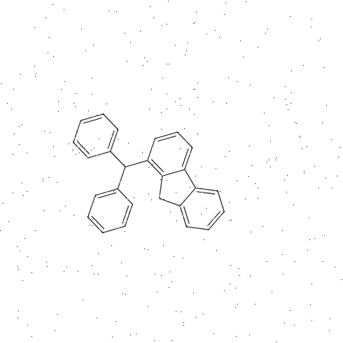 c1ccc(C(c2ccccc2)c2cccc3c2Cc2ccccc2-3)cc1